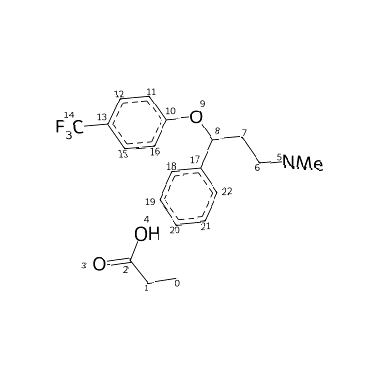 CCC(=O)O.CNCCC(Oc1ccc(C(F)(F)F)cc1)c1ccccc1